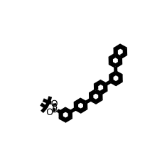 CC1(C)OB(c2cccc(-c3ccc(-c4ccc5cc(-c6cccc(-c7ccc8ccccc8c7)c6)ccc5c4)cc3)c2)OC1(C)C